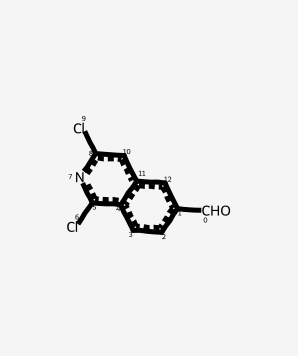 O=Cc1ccc2c(Cl)nc(Cl)cc2c1